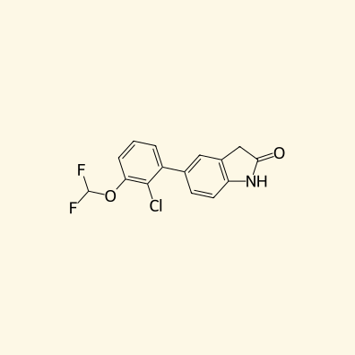 O=C1Cc2cc(-c3cccc(OC(F)F)c3Cl)ccc2N1